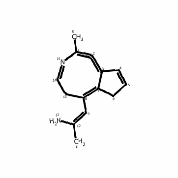 CC1=C=C2C=CC/C2=C(\C=C(\C)N)C/C=N\1